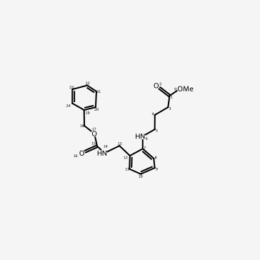 COC(=O)CCCNc1ccccc1CNC(=O)OCc1ccccc1